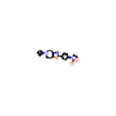 O=C1OCCN1c1ccc(-c2nc3c(s2)CCN(C2=CC=C2)CC3)cc1